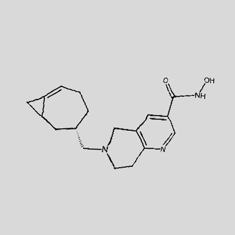 O=C(NO)c1cnc2c(c1)CN(C[C@H]1CCC=C3CC3C1)CC2